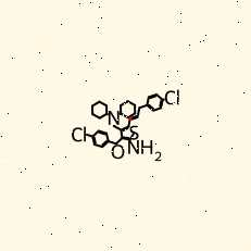 Nc1sc(C=CCc2ccc(Cl)cc2)c(CN(C2CCCCC2)C2CCCCC2)c1C(=O)c1ccc(Cl)cc1